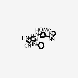 COc1cc(-c2nnc3n2CCC3)ccc1Nc1nc(NC2CCCCC2)c2c(C#N)c[nH]c2n1